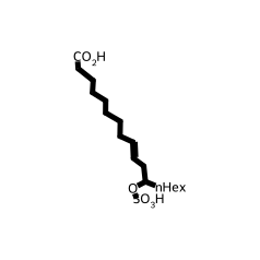 CCCCCCC(C/C=C/CCCCCCCC(=O)O)OS(=O)(=O)O